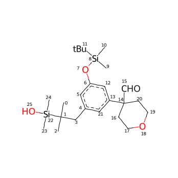 CC(C)(Cc1cc(O[Si](C)(C)C(C)(C)C)cc(C2(C=O)CCOCC2)c1)[Si](C)(C)O